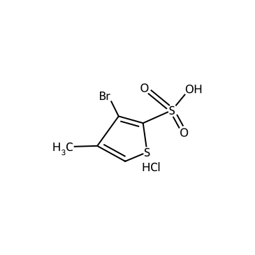 Cc1csc(S(=O)(=O)O)c1Br.Cl